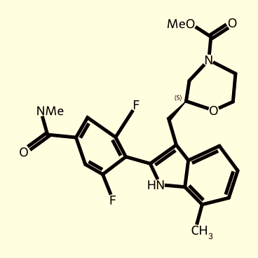 CNC(=O)c1cc(F)c(-c2[nH]c3c(C)cccc3c2C[C@H]2CN(C(=O)OC)CCO2)c(F)c1